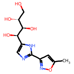 Cc1cc(-c2ncc([C@@H](O)[C@H](O)[C@H](O)CO)[nH]2)no1